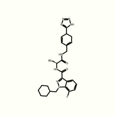 CC(C)(C)[C@H](NC(=O)c1nn(CC2CCCCC2)c2c(F)cccc12)C(=O)NCC1=CCC(c2nnn[nH]2)C=C1